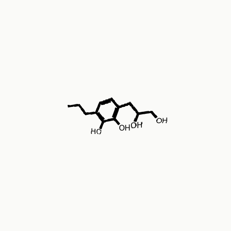 CCCc1ccc(CC(O)CO)c(O)c1O